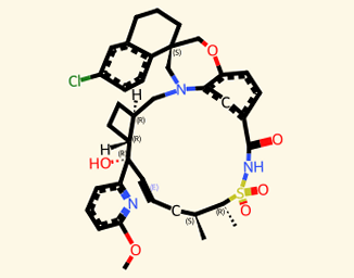 COc1cccc([C@]2(O)/C=C/C[C@H](C)[C@@H](C)S(=O)(=O)NC(=O)c3ccc4c(c3)N(C[C@@H]3CC[C@H]32)C[C@@]2(CCCc3cc(Cl)ccc32)CO4)n1